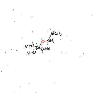 C=C[SiH2]O[Si](OC)(OC)OC